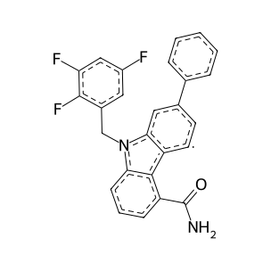 NC(=O)c1cccc2c1c1[c]cc(-c3ccccc3)cc1n2Cc1cc(F)cc(F)c1F